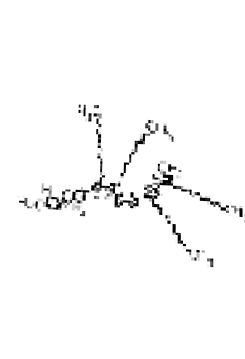 CCCCCCCCCCCCc1cc(C)sc1-c1cc(CCCCCCCCCCCC)c(-c2ccc(-c3ccc(-c4sc(-c5sc(-c6ccc(C(C)(C)c7ccc(C)cc7)cc6)cc5CCCCCCCCCCCC)cc4CCCCCCCCCCCC)s3)s2)s1